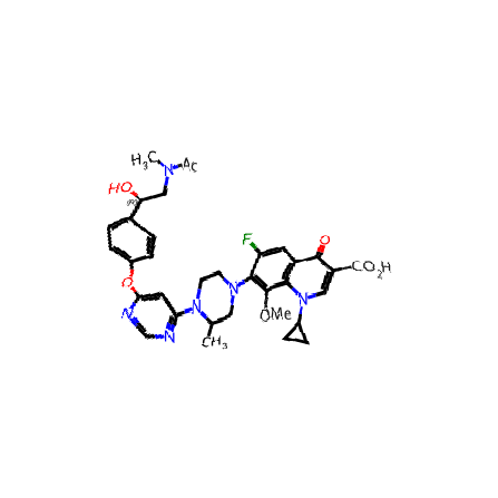 COc1c(N2CCN(c3cc(Oc4ccc([C@@H](O)CN(C)C(C)=O)cc4)ncn3)C(C)C2)c(F)cc2c(=O)c(C(=O)O)cn(C3CC3)c12